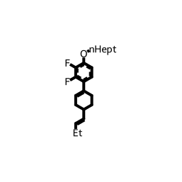 CC/C=C/C1CC=C(c2ccc(OCCCCCCC)c(F)c2F)CC1